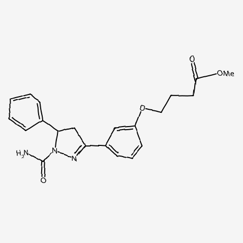 COC(=O)CCCOc1cccc(C2=NN(C(N)=O)C(c3ccccc3)C2)c1